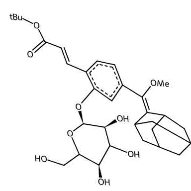 COC(=C1C2CC3CC(C2)CC1C3)c1ccc(/C=C/C(=O)OC(C)(C)C)c(O[C@@H]2OC(CO)[C@H](O)C(O)[C@@H]2O)c1